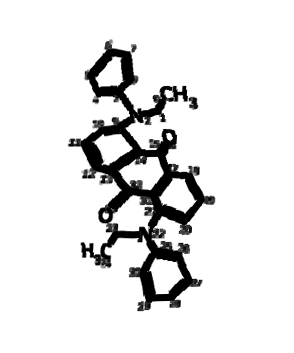 CCN(c1ccccc1)c1cccc2c1C(=O)c1cccc(N(CC)c3ccccc3)c1C2=O